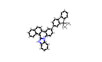 CC1(C)c2ccccc2-c2ccc(-c3ccc4c(c3)c3ccc5ccccc5c3c3nc5ccccc5n43)cc21